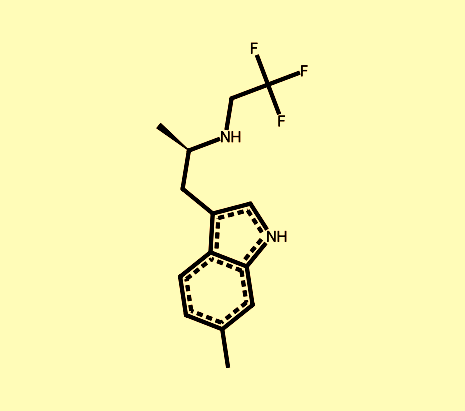 Cc1ccc2c(C[C@@H](C)NCC(F)(F)F)c[nH]c2c1